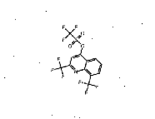 O=S(=O)(Oc1cc(C(F)(F)F)nc2c(C(F)(F)F)cccc12)C(F)(F)F